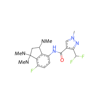 CNC1CC(NC)(NC)c2c(F)ccc(NC(=O)c3cn(C)nc3C(F)F)c21